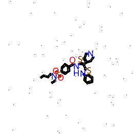 CCCCN(CC)S(=O)(=O)c1ccc(C(=O)Nc2sc3c(c2-c2nc4ccccc4s2)CCN(C)C3)cc1